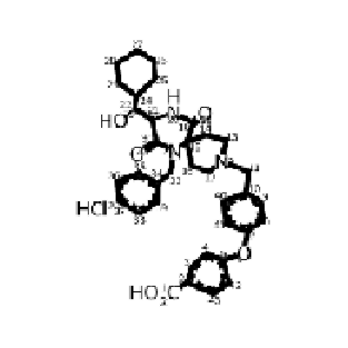 Cl.O=C(O)c1ccc(Oc2ccc(CN3CCC4(CC3)C(=O)N[C@H]([C@H](O)C3CCCCC3)C(=O)N4Cc3ccccc3)cc2)cc1